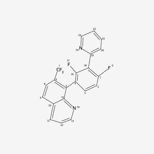 Fc1ccc(-c2c(C(F)(F)F)ccc3cccnc23)c(F)c1-c1ccccn1